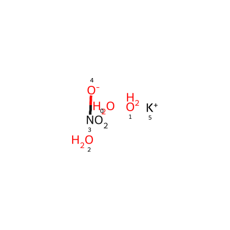 O.O.O.O=[N+]([O-])[O-].[K+]